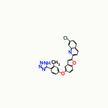 Cc1cc(Oc2ccc3oc(-c4ccc5ccc(Cl)cc5n4)cc3c2)ccc1-c1nnn[nH]1